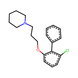 Clc1cccc(OCCCN2CCCCC2)c1-c1ccccc1